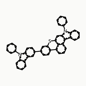 c1ccc(-n2c3ccccc3c3cc(-c4ccc5c(c4)Sc4cc6c(c7cccc-5c47)c4ccccc4n6-c4ccccc4)ccc32)cc1